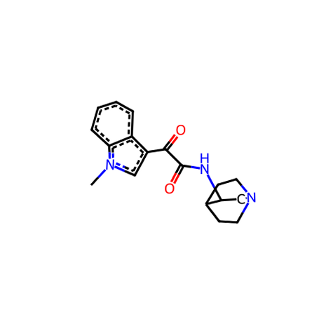 Cn1cc(C(=O)C(=O)NC2CN3CCC2CC3)c2ccccc21